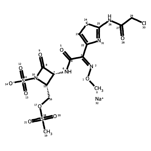 CON=C(C(=O)N[C@H]1C(=O)N(S(=O)(=O)[O-])[C@H]1COS(C)(=O)=O)c1csc(NC(=O)CCl)n1.[Na+]